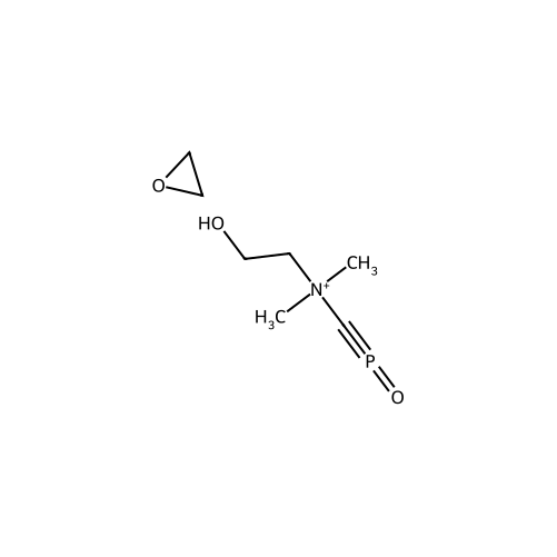 C1CO1.C[N+](C)(C#P=O)CCO